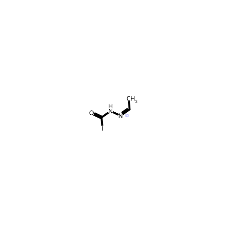 C/C=N\NC(=O)I